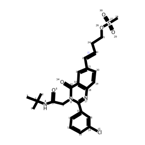 CC(C)(C)NC(=O)Cn1c(-c2cccc(Cl)c2)nc2ccc(/C=C/CCOS(C)(=O)=O)cc2c1=O